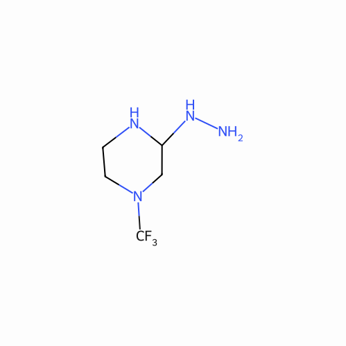 NNC1CN(C(F)(F)F)CCN1